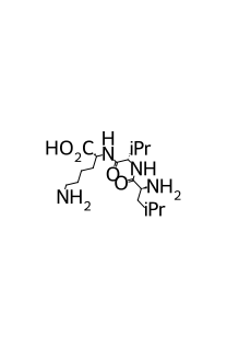 CC(C)C[C@H](N)C(=O)N[C@H](C(=O)N[C@@H](CCCCN)C(=O)O)C(C)C